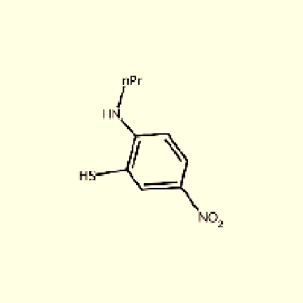 CCCNc1ccc([N+](=O)[O-])cc1S